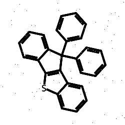 c1ccc(C2(c3ccccc3)c3ccccc3-c3sc4ccccc4c32)cc1